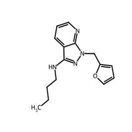 CCCCNc1nn(Cc2ccco2)c2ncccc12